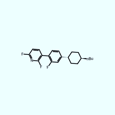 CCCC[C@H]1CC[C@H](c2ccc(-c3ccc(F)nc3F)c(F)c2)CC1